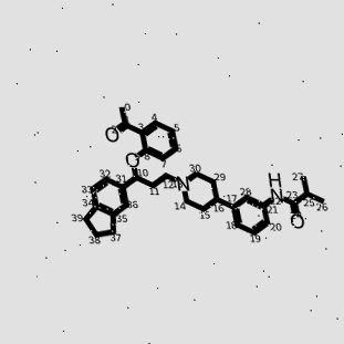 CC(=O)c1ccccc1OC(CCN1CCC(c2cccc(NC(=O)C(C)C)c2)CC1)c1ccc2c(c1)CCC2